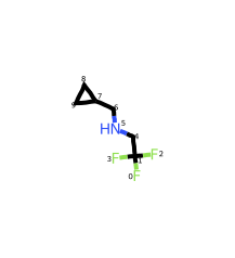 FC(F)(F)CNCC1CC1